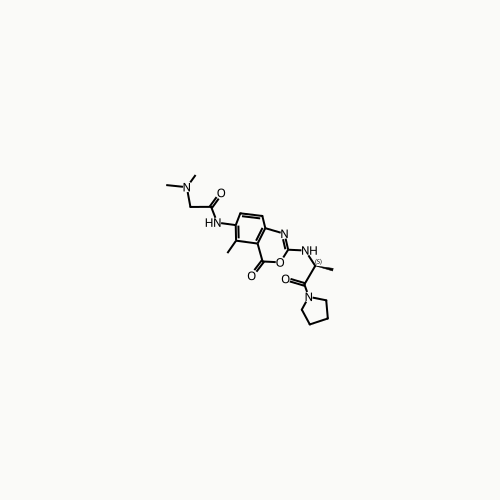 Cc1c(NC(=O)CN(C)C)ccc2nc(N[C@@H](C)C(=O)N3CCCC3)oc(=O)c12